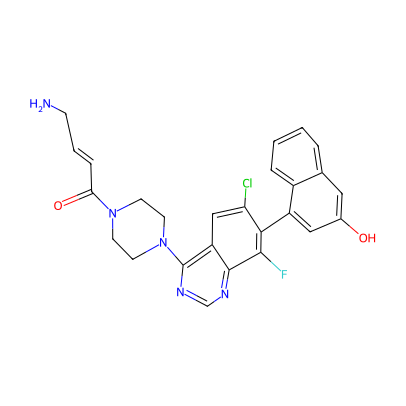 NC/C=C/C(=O)N1CCN(c2ncnc3c(F)c(-c4cc(O)cc5ccccc45)c(Cl)cc23)CC1